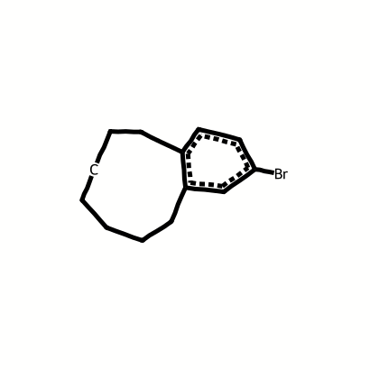 Brc1ccc2c(c1)CCCCCCC2